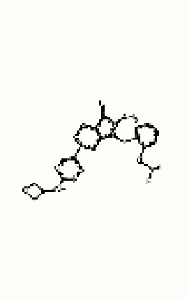 Cn1c(=O)c2ccc(-c3cnc(NC4COC4)nc3)cc2n1Cc1ccccc1OC(F)F